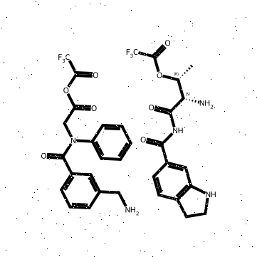 C[C@@H](OC(=O)C(F)(F)F)[C@H](N)C(=O)NC(=O)c1ccc2c(c1)NCC2.NCc1cccc(C(=O)N(CC(=O)OC(=O)C(F)(F)F)c2ccccc2)c1